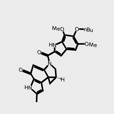 CCCCOc1c(OC)cc2cc(C(=O)N3C[C@H]4CC45C3=CC(=O)c3[nH]c(C)cc35)[nH]c2c1OC